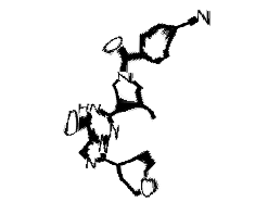 CC1CN(C(=O)c2ccc(C#N)cc2)CC1c1nn2c(C3CCOCC3)ncc2c(=O)[nH]1